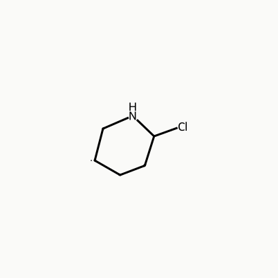 ClC1CC[CH]CN1